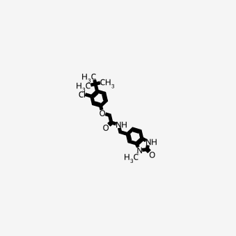 Cn1c(=O)[nH]c2ccc(CNC(=O)COc3ccc(C(C)(C)C)c(Cl)c3)cc21